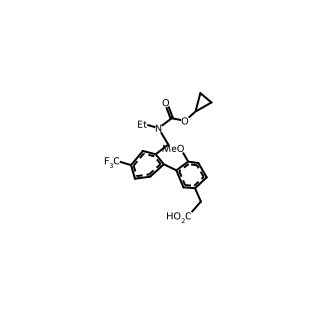 CCN(Cc1cc(C(F)(F)F)ccc1-c1cc(CC(=O)O)ccc1OC)C(=O)OC1CC1